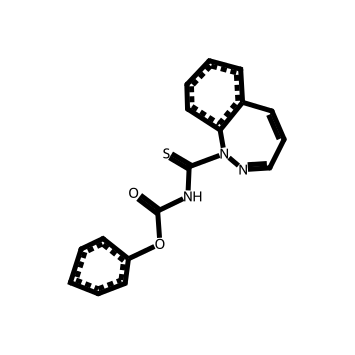 O=C(NC(=S)N1N=CC=Cc2ccccc21)Oc1ccccc1